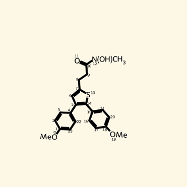 COc1ccc(-c2cc(CCC(=O)N(C)O)sc2-c2ccc(OC)cc2)cc1